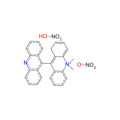 C[N+]1(C)C2=CC=CCC2=C(c2c3ccccc3nc3ccccc23)c2ccccc21.O=[N+]([O-])O.O=[N+]([O-])[O-]